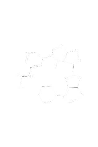 CC(C)(C)C(=O)Nc1cncc(-c2cnc3[nH]nc(-c4nc5c(N6CCCCC6)ccnc5[nH]4)c3c2F)c1